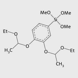 CCOC(C)Oc1ccc([Si](OC)(OC)OC)cc1OC(C)OCC